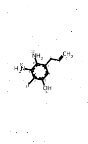 C=CCc1cc(O)c(I)c(N)c1N